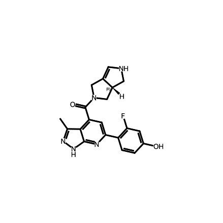 Cc1n[nH]c2nc(-c3ccc(O)cc3F)cc(C(=O)N3CC4=CNC[C@@H]4C3)c12